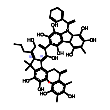 C=C(Cc1c(C)c(O)c(O)c2c1C(=C(\O)C(=C)c1c(O)c(O)c3c(c1O)C1C(O)=C(C)C(O)=C(O)C1N3C(=C)C1=CCCC=C1)/C(=C(\CO)CCC)C2(C)C)c1c(C)c(O)c(C)c(O)c1C